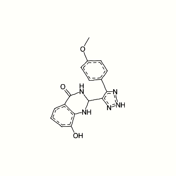 COc1ccc(-c2n[nH]nc2C2NC(=O)c3cccc(O)c3N2)cc1